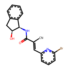 N#C/C(=C\c1cccc(Br)n1)C(=O)N[C@@H]1c2ccccc2C[C@@H]1O